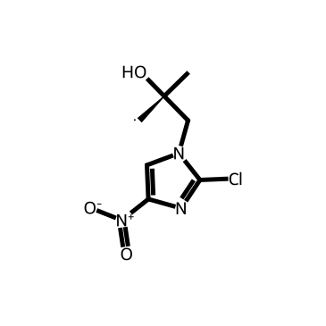 [CH2][C@](C)(O)Cn1cc([N+](=O)[O-])nc1Cl